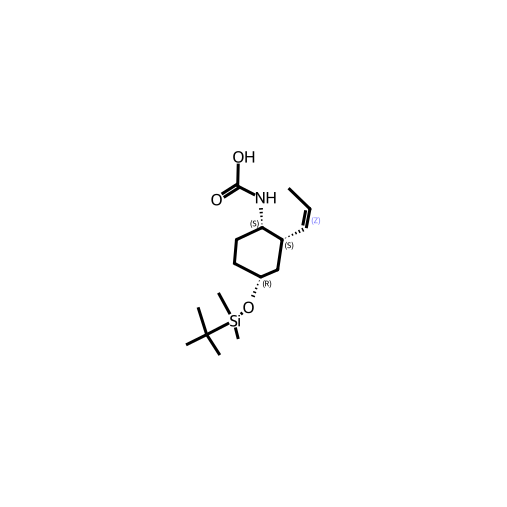 C/C=C\[C@@H]1C[C@H](O[Si](C)(C)C(C)(C)C)CC[C@@H]1NC(=O)O